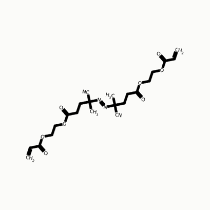 C=CC(=O)OCCOC(=O)CCC(C)(C#N)/N=N/C(C)(C#N)CCC(=O)OCCOC(=O)C=C